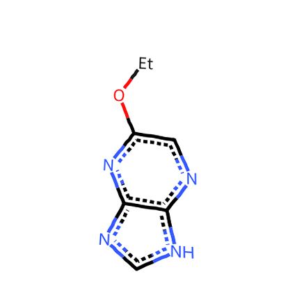 CCOc1cnc2[nH]cnc2n1